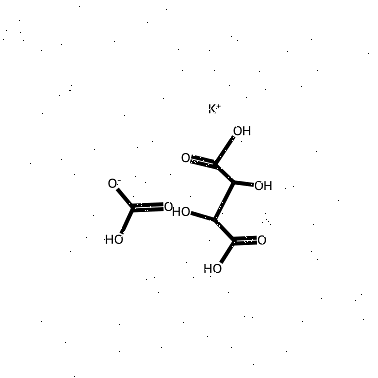 O=C(O)C(O)C(O)C(=O)O.O=C([O-])O.[K+]